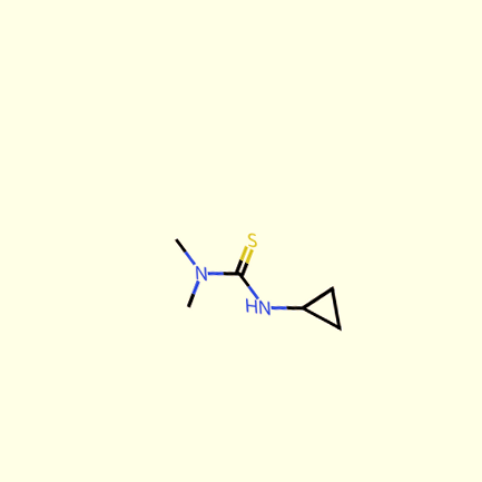 CN(C)C(=S)NC1CC1